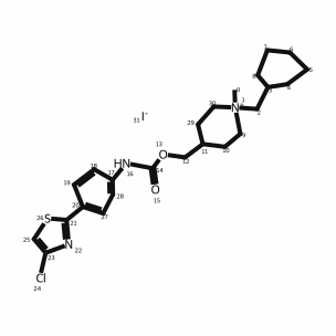 C[N+]1(CC2CCCCC2)CCC(COC(=O)Nc2ccc(-c3nc(Cl)cs3)cc2)CC1.[I-]